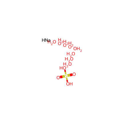 O.O.O.O.O.O.O.O.O=S(=O)(O)O.[NaH]